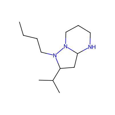 CCCCN1C(C(C)C)CC2NCCCN21